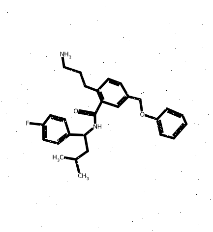 CC(C)CC(NC(=O)c1cc(COc2ccccc2)ccc1CCCN)c1ccc(F)cc1